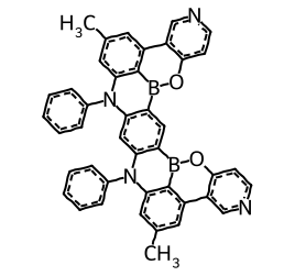 Cc1cc2c3c(c1)N(c1ccccc1)c1cc4c(cc1B3Oc1ccncc1-2)B1Oc2ccncc2-c2cc(C)cc(c21)N4c1ccccc1